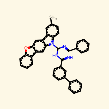 N=C(NC(/N=C/c1ccccc1)n1c2ccc([SiH3])cc2c2cc3oc4ccccc4c3cc21)c1cccc(-c2ccccc2)c1